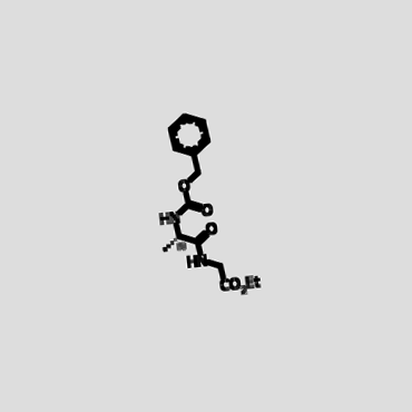 CCOC(=O)CNC(=O)[C@H](C)NC(=O)OCc1ccccc1